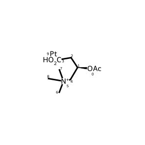 CC(=O)O[C@H](CC(=O)O)C[N+](C)(C)C.[Pt]